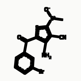 C[S+]([O-])c1sc(C(=O)c2cccc(Br)c2)c(N)c1C#N